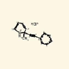 CC1(C#Cc2ccccc2)C=CC=CN1.Cl